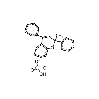 CC1(c2ccccc2)C=C(c2ccccc2)c2ccccc2O1.[O-][Cl+3]([O-])([O-])O